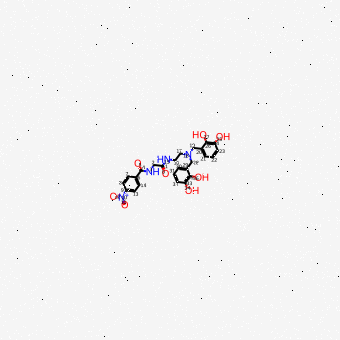 O=C(CNC(=O)c1ccc([N+](=O)[O-])cc1)NCCN(Cc1cccc(O)c1O)Cc1cccc(O)c1O